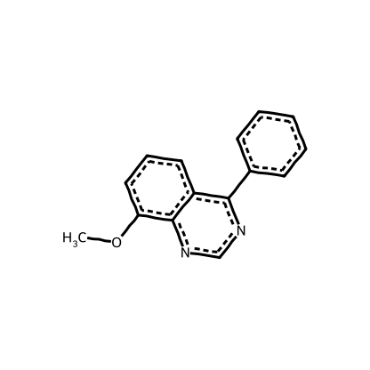 COc1cccc2c(-c3ccccc3)ncnc12